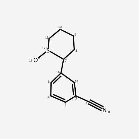 N#Cc1cccc(C2CCCC[S+]2[O-])c1